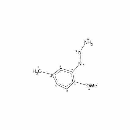 COc1ccc(C)cc1/N=N/N